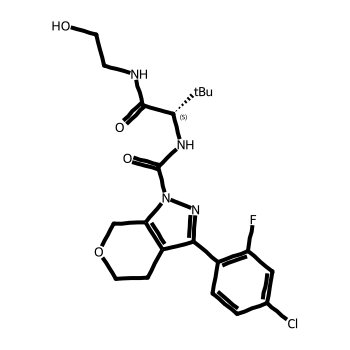 CC(C)(C)[C@H](NC(=O)n1nc(-c2ccc(Cl)cc2F)c2c1COCC2)C(=O)NCCO